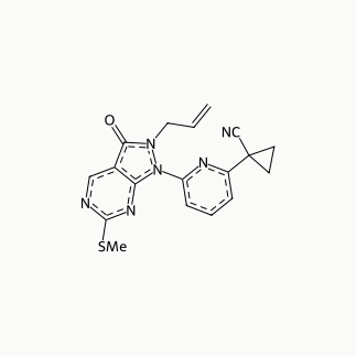 C=CCn1c(=O)c2cnc(SC)nc2n1-c1cccc(C2(C#N)CC2)n1